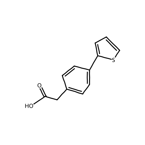 O=C(O)Cc1ccc(-c2cccs2)cc1